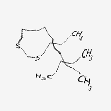 CC(C)(C)C1(C)CCSS1